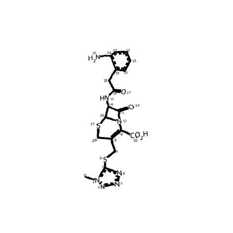 Cn1nnnc1SCC1=C(C(=O)O)N2C(=O)C(NC(=O)Cc3ccccc3N)C2SC1